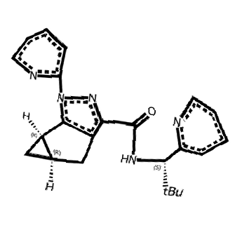 CC(C)(C)[C@H](NC(=O)c1nn(-c2ccccn2)c2c1C[C@H]1C[C@@H]21)c1ccccn1